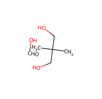 CC(C)(CO)CO.O=CO